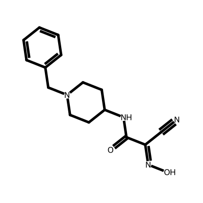 N#C/C(=N\O)C(=O)NC1CCN(Cc2ccccc2)CC1